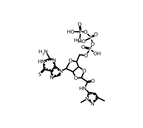 Cc1cc(NC(=O)C2OC3C(COP(=O)(O)OP(=O)(O)OP(=O)(O)O)OC(n4cnc5c(=S)[nH]c(N)nc54)C3O2)n(C)n1